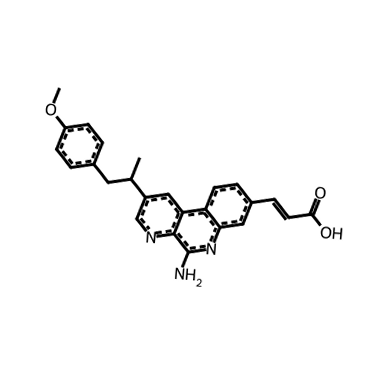 COc1ccc(CC(C)c2cnc3c(N)nc4cc(C=CC(=O)O)ccc4c3c2)cc1